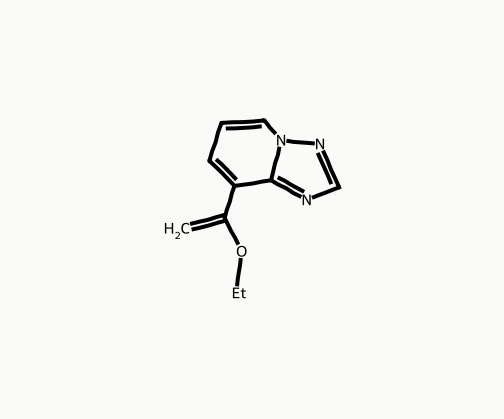 C=C(OCC)c1cccn2ncnc12